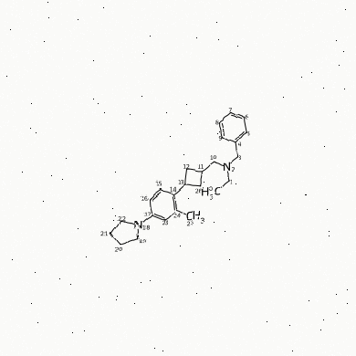 CCN(Cc1ccccc1)CC1CC(c2ccc(N3CCCC3)cc2C)C1